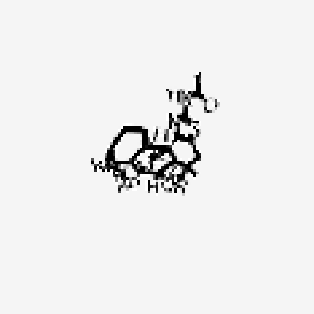 CC(=O)Nc1nc2c(s1)CC(C)(C)[C@H]1[C@H](O)[C@@]3(O)OC[C@@]21[C@@H]1CCC2[C@@H](O)[C@@]13C(=O)[C@@H]2C